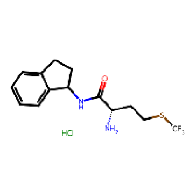 Cl.N[C@@H](CCSC(F)(F)F)C(=O)NC1CCc2ccccc21